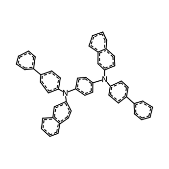 c1ccc(-c2ccc(N(c3ccc(N(c4ccc(-c5ccccc5)cc4)c4ccc5ccccc5c4)cc3)c3ccc4ccccc4c3)cc2)cc1